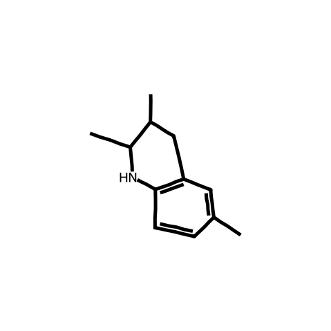 Cc1ccc2c(c1)CC(C)C(C)N2